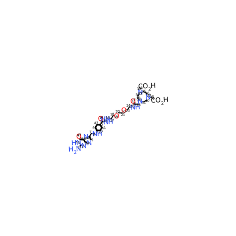 Nc1nc2ncc(CNc3ccc(C(=O)NNCCOCCOCCNC(=O)CN4CCN(CC(=O)O)CCN(CC(=O)O)CC4)cc3)nc2c(=O)[nH]1